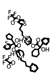 O=C(OC12CC[N+](CCCc3cccs3)(CC1)CC2)[C@](O)(c1ccccc1)C1CCCCC1.O=C(O[C@@H]1C[N+]2(CCCc3ccccc3)CCC1CC2)[C@](O)(c1cccs1)C1CCCC1.O=C([O-])C(F)(F)F.O=C([O-])C(F)(F)F